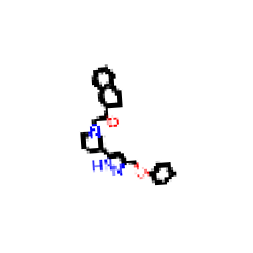 O=C(CN1C=CCC(c2cc(COc3ccccc3)n[nH]2)=C1)c1ccc2ccccc2c1